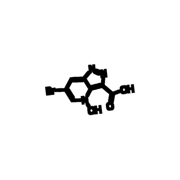 O=C(O)c1nnc2cc(Br)cn(O)c1-2